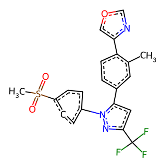 Cc1cc(-c2cc(C(F)(F)F)nn2-c2ccc(S(C)(=O)=O)cc2)ccc1-c1cocn1